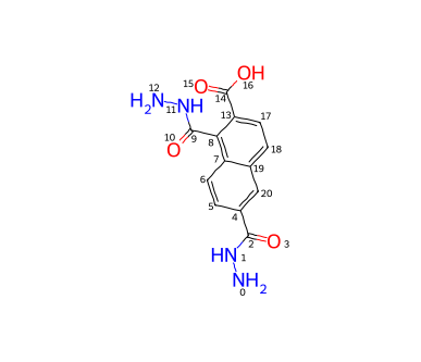 NNC(=O)c1ccc2c(C(=O)NN)c(C(=O)O)ccc2c1